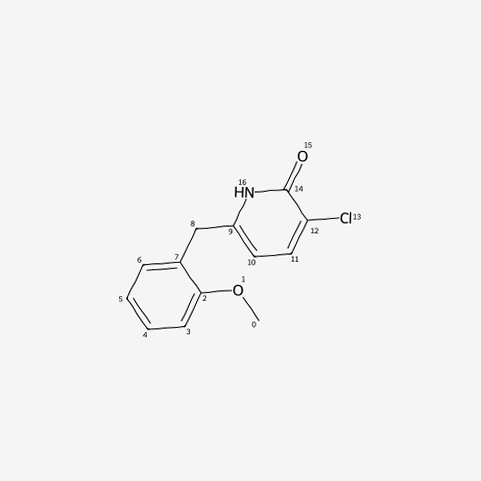 COc1ccccc1Cc1ccc(Cl)c(=O)[nH]1